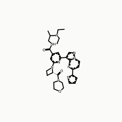 CCN(CC)C(C)CNC(=O)c1cc(-c2cnn3ccc(-c4cccs4)nc23)nc(N2CC[C@H]2C(=O)N2CCOCC2)c1